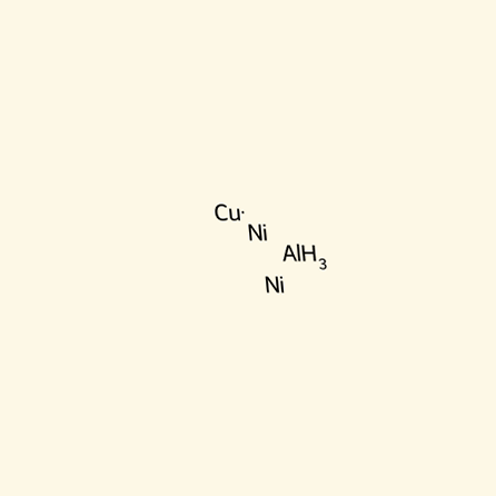 [AlH3].[Cu].[Ni].[Ni]